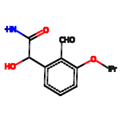 CC(C)Oc1cccc(C(O)C([NH])=O)c1C=O